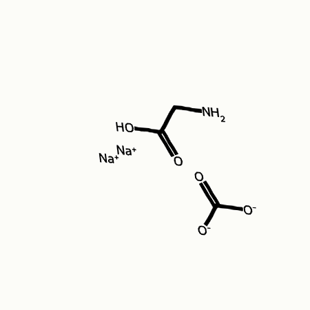 NCC(=O)O.O=C([O-])[O-].[Na+].[Na+]